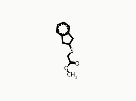 COC(=O)CSC1Cc2ccccc2C1